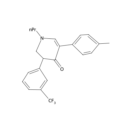 CCCN1C=C(c2ccc(C)cc2)C(=O)C(c2cccc(C(F)(F)F)c2)C1